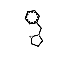 c1ccc(CN2CCCN2)cc1